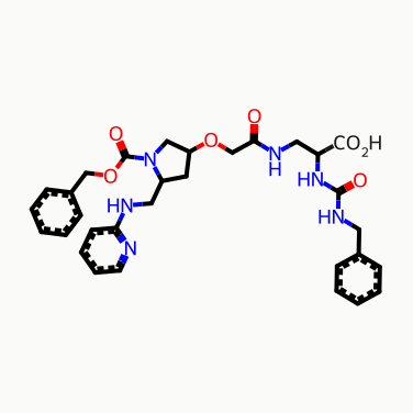 O=C(COC1CC(CNc2ccccn2)N(C(=O)OCc2ccccc2)C1)NCC(NC(=O)NCc1ccccc1)C(=O)O